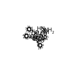 N=C(N)NCCC[C@@](C(=O)OCc1ccccc1)(C(=O)ON1C(=O)CCC1=O)N(C(=O)OCc1ccccc1)C(=O)OCc1ccccc1